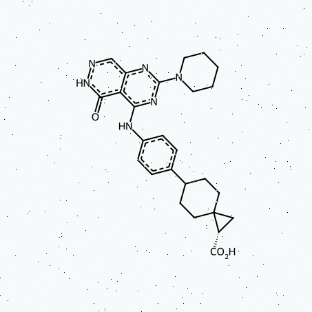 O=C(O)[C@H]1CC12CCC(c1ccc(Nc3nc(N4CCCCC4)nc4cn[nH]c(=O)c34)cc1)CC2